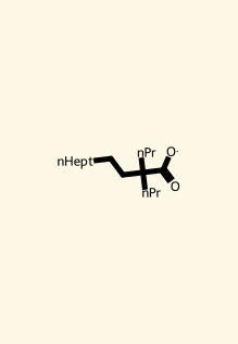 CCCCCCCCCC(CCC)(CCC)C([O])=O